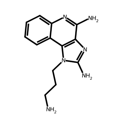 NCCCn1c(N)nc2c(N)nc3ccccc3c21